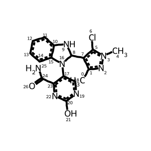 Cc1nn(C)c(Cl)c1C1Nc2ccccc2N1c1cnc(O)nc1C(N)=O